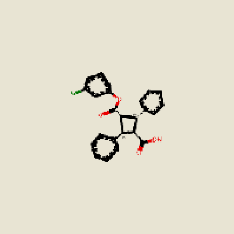 O=C(O)[C@H]1[C@@H](c2ccccc2)[C@H](C(=O)Oc2cccc(Br)c2)[C@@H]1c1ccccc1